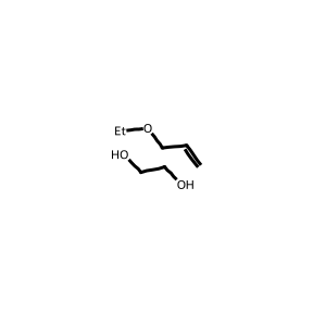 C=CCOCC.OCCO